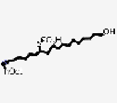 CCCCCCCC/C=C\CCCCCC(CCCCCCCCCCCO)SC(=O)O